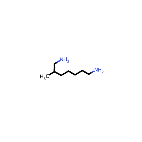 CC(CN)CCCCCN